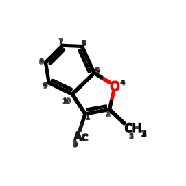 CC(=O)c1c(C)oc2ccccc12